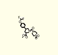 COC(=O)C1CC(c2ccc(OC(F)F)cc2)CN(C(=O)N2CCS(=O)(=O)CC2)C1